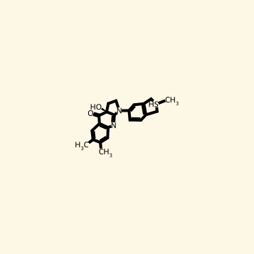 Cc1cc2c(cc1C)C(=O)[C@]1(O)CCN(c3ccc4c(c3)C[SH](C)C4)C1=N2